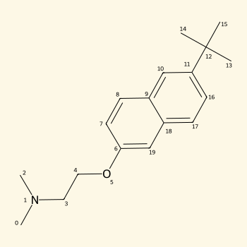 CN(C)CCOc1ccc2cc(C(C)(C)C)ccc2c1